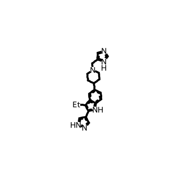 CCc1c(-c2cn[nH]c2)[nH]c2ccc(C3CCN(Cc4cnc[nH]4)CC3)cc12